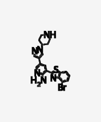 Nc1ncc(-c2cnn(C3CCNCC3)c2)cc1-c1nc2c(Br)cccc2s1